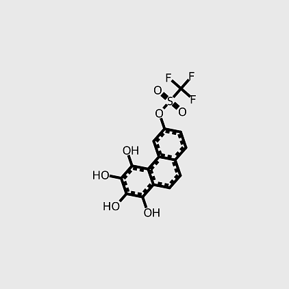 O=S(=O)(Oc1ccc2ccc3c(O)c(O)c(O)c(O)c3c2c1)C(F)(F)F